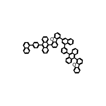 c1cc(-c2cc(-c3cccc4oc5c(-c6c7ccccc7c(-c7ccc(-c8cccc9ccccc89)cc7)c7ccccc67)cccc5c34)cc3ccccc23)cc(-c2c3ccccc3c(-c3cccc4c3oc3ccccc34)c3ccccc23)c1